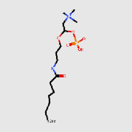 CCCCCCCCCCCCCCCC(=O)NCCCOC(C[N+](C)(C)C)OP(=O)([O-])O